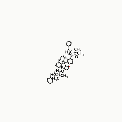 CC(C)(C)C(=O)N(CCCc1ccccc1)c1ccc(F)[c]([Ti]([c]2c(F)ccc(N(CCCc3ccccc3)C(=O)C(C)(C)C)c2F)([CH]2C=CC=C2)[CH]2C=CC=C2)c1F